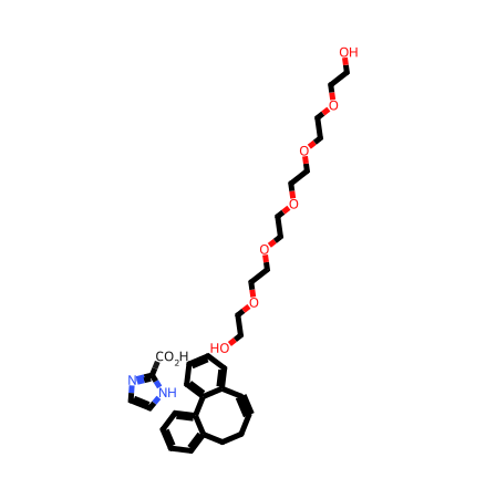 C1#Cc2ccccc2-c2ccccc2CC1.O=C(O)c1ncc[nH]1.OCCOCCOCCOCCOCCOCCO